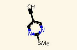 C#Cc1cnc(SC)nc1